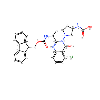 CC(NC(=O)OCC1c2ccccc2-c2ccccc21)c1nc2cccc(Cl)c2c(=O)n1N1CCC(NC(=O)O)C1